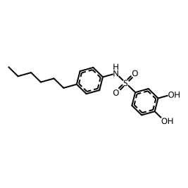 CCCCCCc1ccc(NS(=O)(=O)c2ccc(O)c(O)c2)cc1